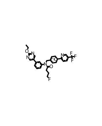 CCOc1ncc(-c2cccc(N(CC34CCC(c5ccc(C(F)(F)F)cn5)(CC3)CC4)C(=O)CCCF)c2)cn1